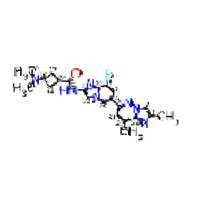 Cc1cn2nc(-c3cc(F)c4nc(NC(=O)C5CC(N(C)C)C5)cn4c3)cc(C)c2n1